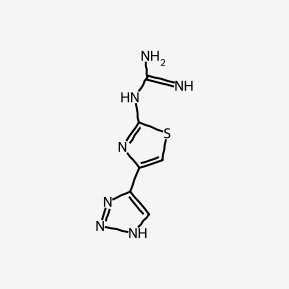 N=C(N)Nc1nc(-c2c[nH]nn2)cs1